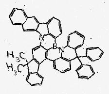 CC1(C)c2ccccc2-c2c1cc1c3c2-c2cccc4c2N(B3c2cccc3c5cc6ccccc6cc5n-1c23)c1ccccc1C4(c1ccccc1)c1ccccc1